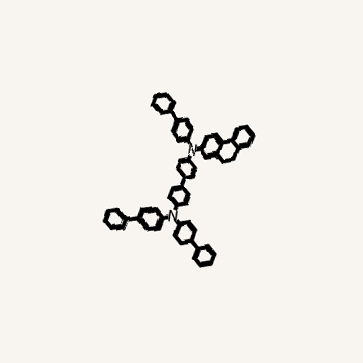 C1=CC(c2ccccc2)CC=C1N(c1ccc(-c2ccccc2)cc1)c1ccc(-c2ccc(N(c3ccc(-c4ccccc4)cc3)c3ccc4c(c3)CCc3ccccc3-4)cc2)cc1